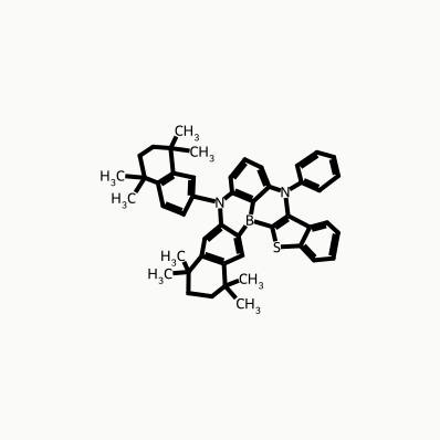 CC1(C)CCC(C)(C)c2cc(N3c4cc5c(cc4B4c6sc7ccccc7c6N(c6ccccc6)c6cccc3c64)C(C)(C)CCC5(C)C)ccc21